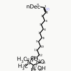 CCCCCCCCCC/C=C\CCCCCCCCCCOP(=O)(O)C(CC)[N+](C)(C)C